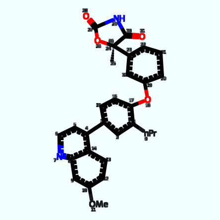 CCCc1cc(-c2ccnc3cc(OC)ccc23)ccc1Oc1cccc([C@@]2(C)OC(=O)NC2=O)c1